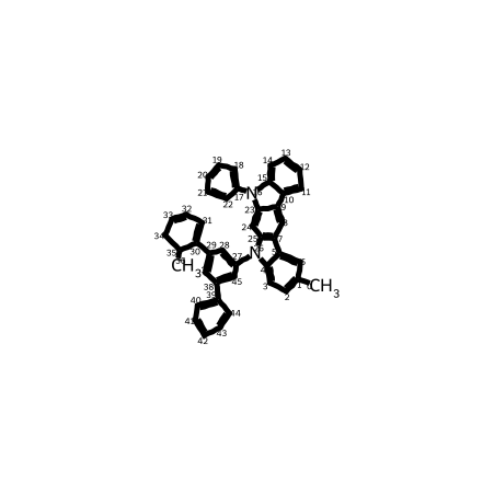 Cc1ccc2c(c1)c1cc3c4ccccc4n(-c4ccccc4)c3cc1n2-c1cc(C2=CC=CCC2C)cc(-c2ccccc2)c1